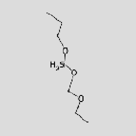 CCCO[SiH2]OCOCC